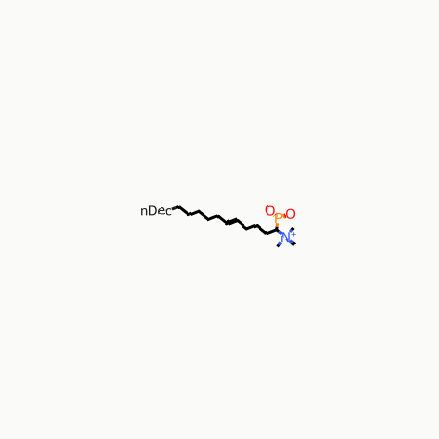 CCCCCCCCCCCCCCCC=CCCCC(P(=O)=O)[N+](C)(C)C